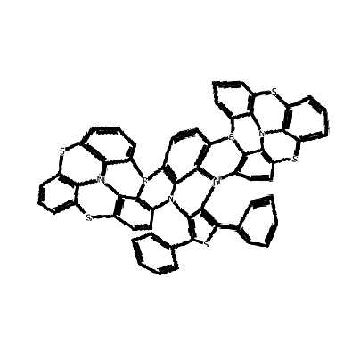 c1ccc(-c2sc(-c3ccccc3)c3c2N2c4ccc5c6c4B(c4cccc7c4N6c4c(cccc4S5)S7)c4ccc5c(c42)N3c2ccc3c4c2B5c2cccc5c2N4c2c(cccc2S3)S5)cc1